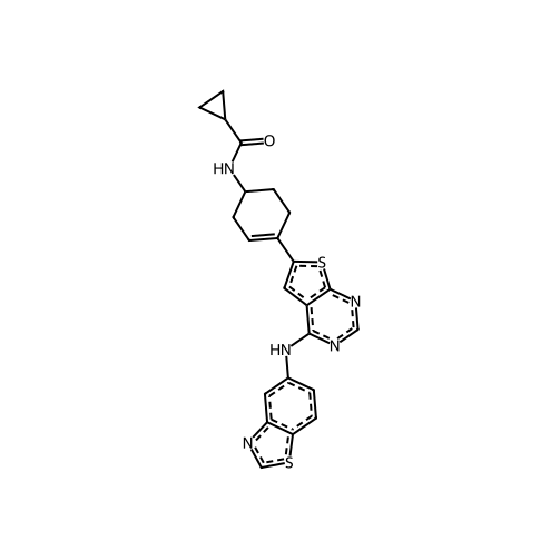 O=C(NC1CC=C(c2cc3c(Nc4ccc5scnc5c4)ncnc3s2)CC1)C1CC1